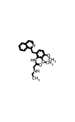 CCNCC(=O)Nc1c(Cc2nccc3ccccc23)ccc(OC)c1OC